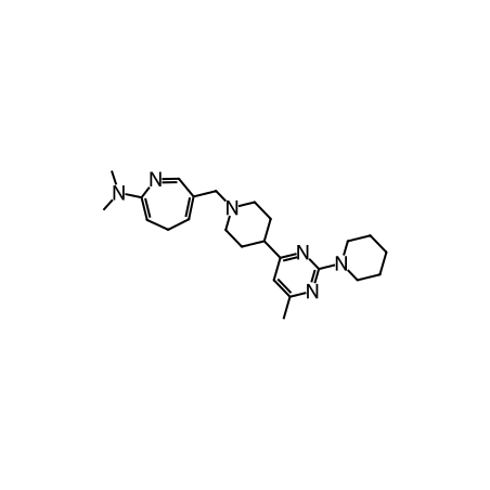 Cc1cc(C2CCN(CC3=CCC=C(N(C)C)N=C3)CC2)nc(N2CCCCC2)n1